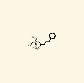 CCOP(=O)(C/C(=C\CCc1ccccc1)C(=O)O)CC(C)C